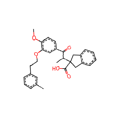 COc1ccc(C(=O)C(C)C2(C(=O)O)Cc3ccccc3C2)cc1OCCc1cccc(C)c1